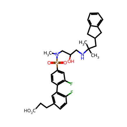 CN(CC(O)CNC(C)(C)CC1Cc2ccccc2C1)S(=O)(=O)c1ccc(-c2cc(CCC(=O)O)ccc2F)c(F)c1